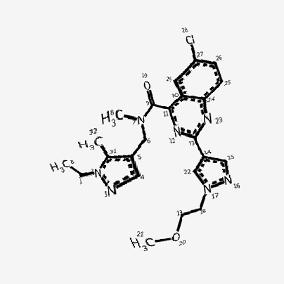 CCn1ncc(CN(C)C(=O)c2nc(-c3cnn(CCOC)c3)nc3ccc(Cl)cc23)c1C